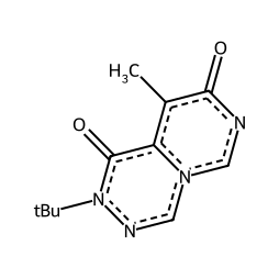 Cc1c(=O)ncn2cnn(C(C)(C)C)c(=O)c12